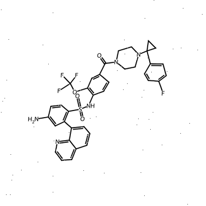 Nc1ccc(S(=O)(=O)Nc2ccc(C(=O)N3CCN(C4(c5ccc(F)cc5)CC4)CC3)cc2OC(F)(F)F)c(-c2cccc3cccnc23)c1